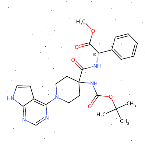 COC(=O)[C@@H](NC(=O)C1(NC(=O)OC(C)(C)C)CCN(c2ncnc3[nH]ccc23)CC1)c1ccccc1